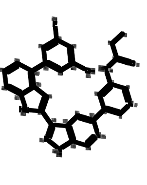 CCC(=O)Nc1cncc(-c2cc3c(-c4cc5c(-c6cc(O)cc(F)c6)cccc5[nH]4)n[nH]c3cn2)c1